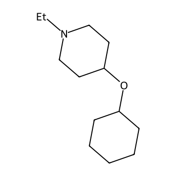 CCN1CCC(OC2CCCCC2)CC1